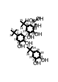 CC(C)(C)c1ccc(O)c(O)c1.CC(C)(C)c1ccc(O)c(O)c1.CC(C)(C)c1ccc(O)c(O)c1.OP(O)O